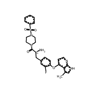 Cc1c[nH]c2nccc(Oc3ccc(C[C@H](N)C(=O)N4CCN(S(=O)(=O)c5ccccc5)CC4)cc3F)c12